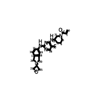 C=CC(=O)N1CCCC(Nc2nc(Nc3ccc4c(c3)CN(C3COC3)C4)ncc2F)C1